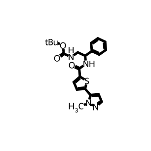 Cn1nccc1-c1ccc(C(=O)NC(CNC(=O)OC(C)(C)C)c2ccccc2)s1